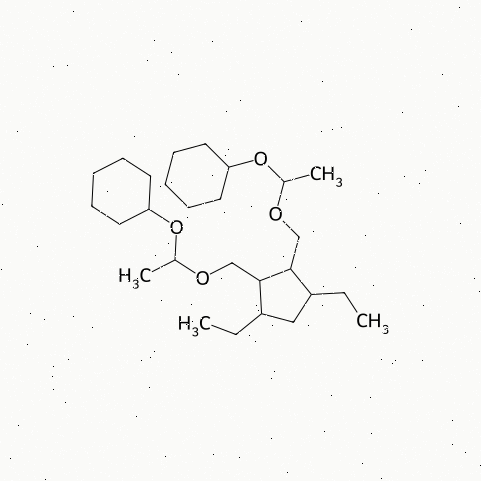 CCC1CC(CC)C(COC(C)OC2CCCCC2)C1COC(C)OC1CCCCC1